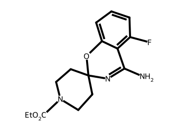 CCOC(=O)N1CCC2(CC1)N=C(N)c1c(F)cccc1O2